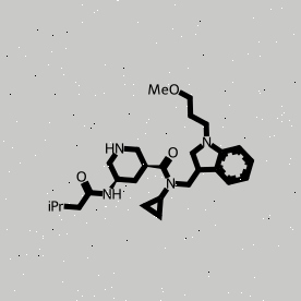 COCCCN1CC(CN(C(=O)[C@@H]2CNC[C@H](NC(=O)CC(C)C)C2)C2CC2)c2ccccc21